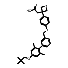 Cc1cc(OCC(C)(C)C)cc(C)c1-c1cccc(COc2ccc(C3(CC(=O)O)COC3)cc2)c1